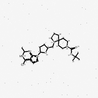 CC1N=c2c(ccn2C2CCC(CN3CCCC34CCN(C(=O)OC(C)(C)C)CC4)O2)=C(Cl)N1